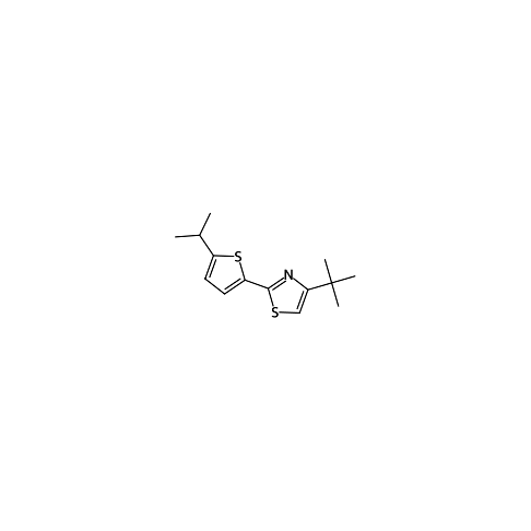 CC(C)c1ccc(-c2nc(C(C)(C)C)cs2)s1